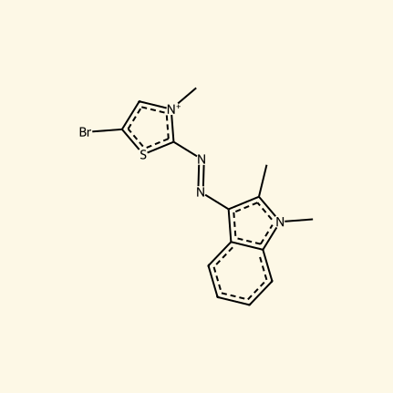 Cc1c(/N=N/c2sc(Br)c[n+]2C)c2ccccc2n1C